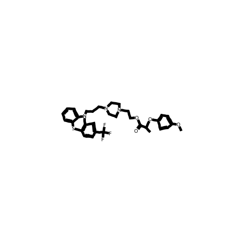 COc1ccc(OC(C)C(=O)OCCN2CCN(CCCN3c4ccccc4Sc4ccc(C(F)(F)F)cc43)CC2)cc1